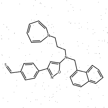 S=Cc1ccc(-c2cc(N(CCCN3C=CC=CC=C3)Cc3cccc4ccccc34)on2)cc1